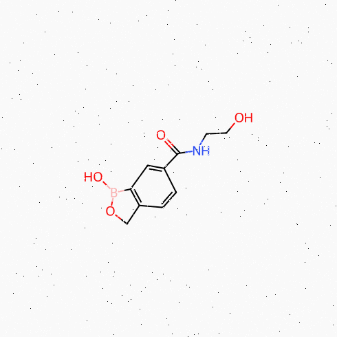 O=C(NCCO)c1ccc2c(c1)B(O)OC2